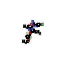 COc1ccc(F)c(COc2cc(C)cn3c(C(=O)NC(C#N)c4ccc(Cl)cc4)c(C)nc23)c1F